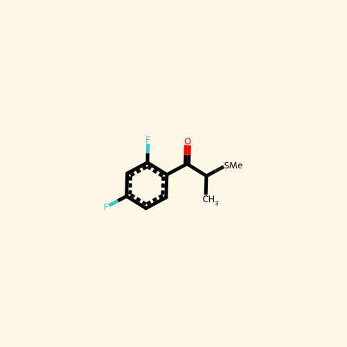 CSC(C)C(=O)c1ccc(F)cc1F